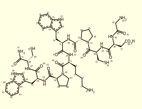 NCCCC[C@H](NC(=O)[C@@H](Cc1c[nH]c2ccccc12)NC(=O)[C@@H]1CCCN1C(=O)[C@H](CS)NC(=O)[C@H](CC(=O)O)NC(=O)CN)C(=O)N1CCC[C@H]1C(=O)N[C@@H](Cc1c[nH]c2ccccc12)C(=O)N[C@@H](CS)C(N)=O